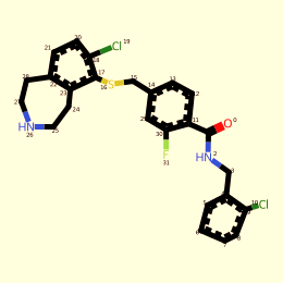 O=C(NCc1ccccc1Cl)c1ccc(CSc2c(Cl)ccc3c2CCNCC3)cc1F